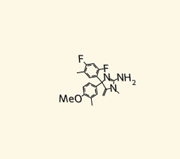 C=C1N(C)C(N)=NC1(c1ccc(OC)c(C)c1)c1cc(C)c(F)cc1F